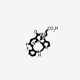 O=C(O)CCSc1ccnc2c1-n1c(=O)[nH]c(=O)c3cc(F)c(nc31)-c1c(F)cccc1NC2